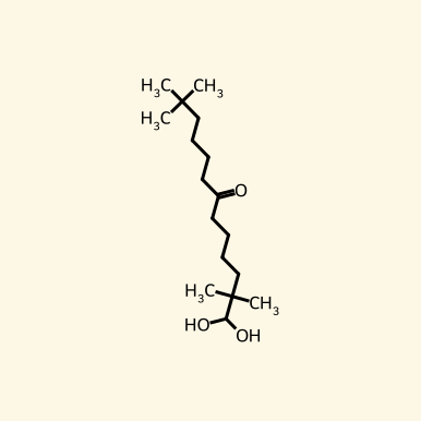 CC(C)(C)CCCCC(=O)CCCCC(C)(C)C(O)O